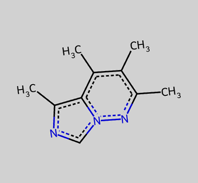 Cc1nn2cnc(C)c2c(C)c1C